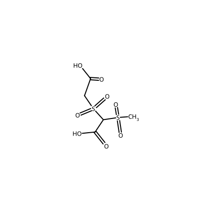 CS(=O)(=O)C(C(=O)O)S(=O)(=O)CC(=O)O